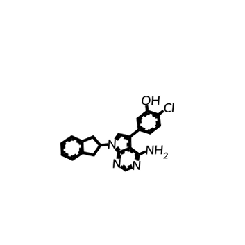 Nc1ncnc2c1c(-c1ccc(Cl)c(O)c1)cn2C1Cc2ccccc2C1